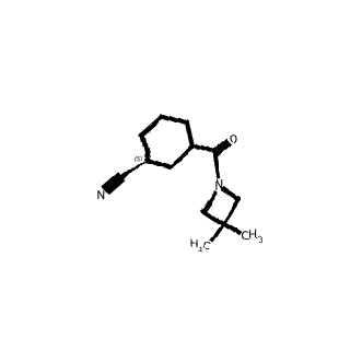 CC1(C)CN(C(=O)C2CCC[C@H](C#N)C2)C1